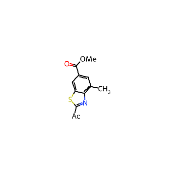 COC(=O)c1cc(C)c2nc(C(C)=O)sc2c1